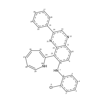 Clc1ccccc1Nc1ccc2ncc(-c3ccccc3)nc2c1C1=CC=CC=CN1